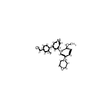 COC1C=CC(N2CCOCC2)=CN1c1cncc(-c2ccc(C=O)cc2F)c1